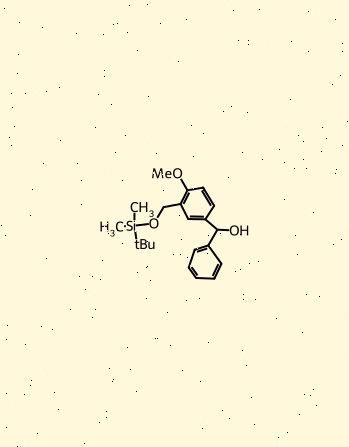 COc1ccc(C(O)c2ccccc2)cc1CO[Si](C)(C)C(C)(C)C